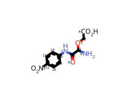 NC(OCC(=O)O)C(=O)Nc1ccc([N+](=O)[O-])cc1